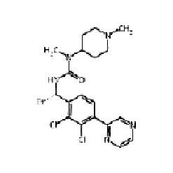 CC[C@H](NC(=O)N(C)C1CCN(C)CC1)c1ccc(-c2cnccn2)c(Cl)c1Cl